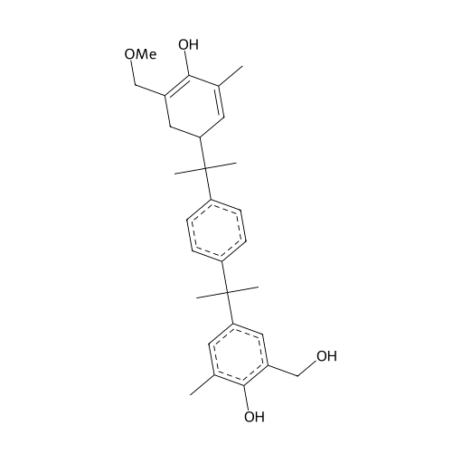 COCC1=C(O)C(C)=CC(C(C)(C)c2ccc(C(C)(C)c3cc(C)c(O)c(CO)c3)cc2)C1